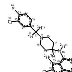 [2H]c1c(Cl)sc2ncnc(N([2H])C3([2H])CCN(C([2H])([2H])c4ccc(F)c(Cl)c4)CC3)c12